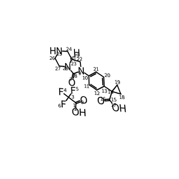 O=C(O)C(F)(F)F.O=C1N(c2ccc(C3(C(=O)O)CC3)cc2)C[C@@H]2CNCCN12